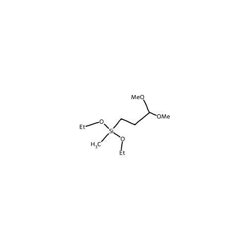 CCO[Si](C)(CCC(OC)OC)OCC